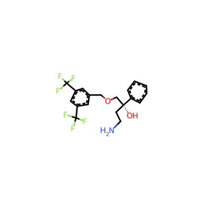 NCC[C@@](O)(COCc1cc(C(F)(F)F)cc(C(F)(F)F)c1)c1ccccc1